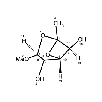 CO[C@H]1OC2(C)O[C@@H](C1O)[C@@H]2O